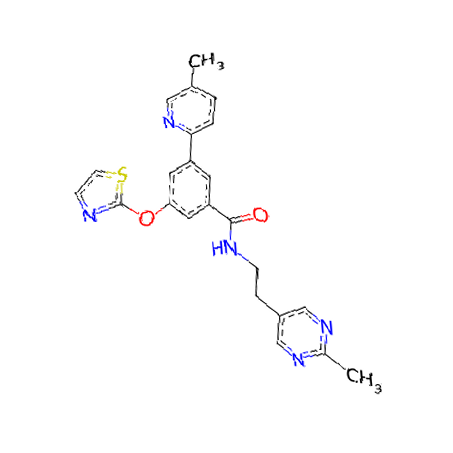 Cc1ccc(-c2cc(Oc3nccs3)cc(C(=O)NCCc3cnc(C)nc3)c2)nc1